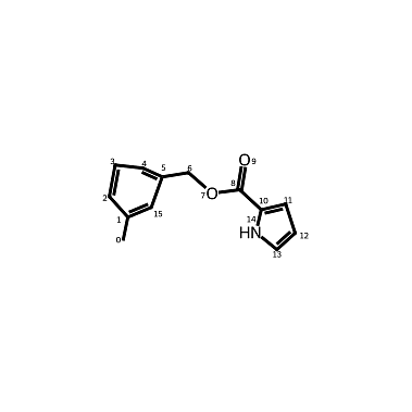 Cc1cccc(COC(=O)c2ccc[nH]2)c1